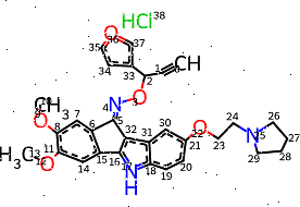 C#CC(ON=C1c2cc(OC)c(OC)cc2-c2[nH]c3ccc(OCCN4CCCC4)cc3c21)c1ccoc1.Cl